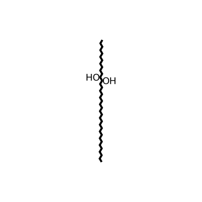 CCCCCCCCCCCCCCCCCCCCCCCCC(O)C(O)CCCCCCCCCCC